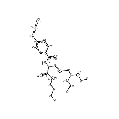 CCCCNC(=O)C(CSCC(OCC)OCC)NC(=O)c1ccc(N=[N+]=[N-])cc1